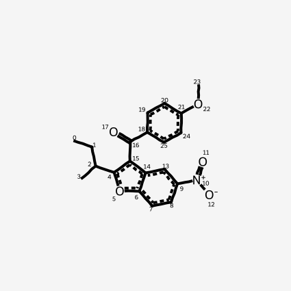 CCC(C)c1oc2ccc([N+](=O)[O-])cc2c1C(=O)c1ccc(OC)cc1